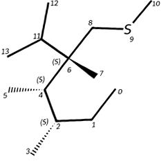 CC[C@H](C)[C@H](C)[C@@](C)(CSC)C(C)C